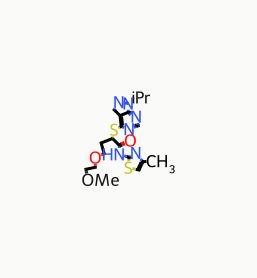 COCCOCCC(Sc1ncnc2c1cnn2C(C)C)C(=O)Nc1nc(C)cs1